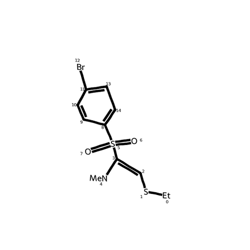 CCS/C=C(\NC)S(=O)(=O)c1ccc(Br)cc1